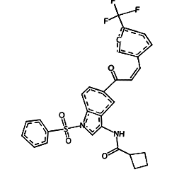 O=C(/C=C\c1ccc(C(F)(F)F)cc1)c1ccc2c(c1)c(NC(=O)C1CCC1)cn2S(=O)(=O)c1ccccc1